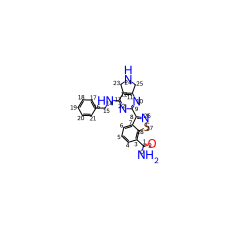 NC(=O)c1cccc2c(-c3nc4c(c(NCc5ccccc5)n3)CNC4)nsc12